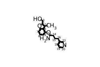 Cc1c(CO)oc2cccc(OC(N)CCCc3cccnc3)c12